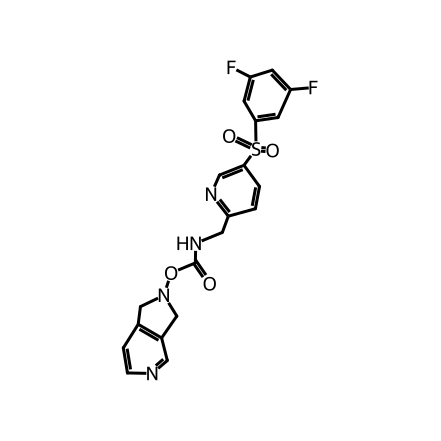 O=C(NCc1ccc(S(=O)(=O)c2cc(F)cc(F)c2)cn1)ON1Cc2ccncc2C1